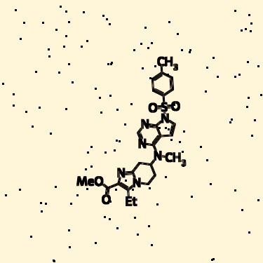 CCc1c(C(=O)OC)nc2n1CCC(N(C)c1ncnc3c1ccn3S(=O)(=O)c1ccc(C)cc1)C2